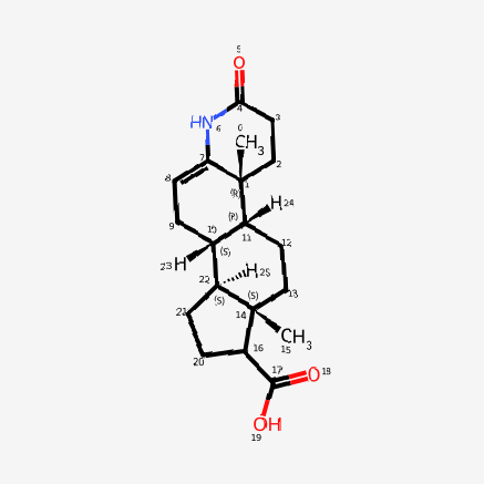 C[C@]12CCC(=O)NC1=CC[C@@H]1[C@H]2CC[C@]2(C)C(C(=O)O)CC[C@@H]12